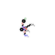 CCCCCCS(=O)(=O)N(c1ccccc1NCCOc1ccc(Cl)cc1)C(C)OCCN